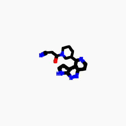 N#CCC(=O)N1CCCC(c2nccc3nnc4[nH]ccc4c23)C1